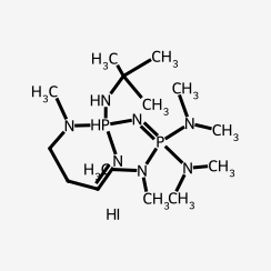 CN(C)P(=N[PH]1(NC(C)(C)C)N=CCCN1C)(N(C)C)N(C)C.I